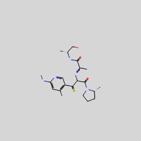 C/C(=N\C(C(=O)N1CCC[C@@H]1C)C(=S)c1cnc(NC(C)(C)C)cc1C(F)(F)F)C(=O)N[C@@H](C)[C@H](C)O